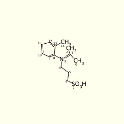 CC(C)=[N+](CCCS(=O)(=O)O)c1ccccc1C